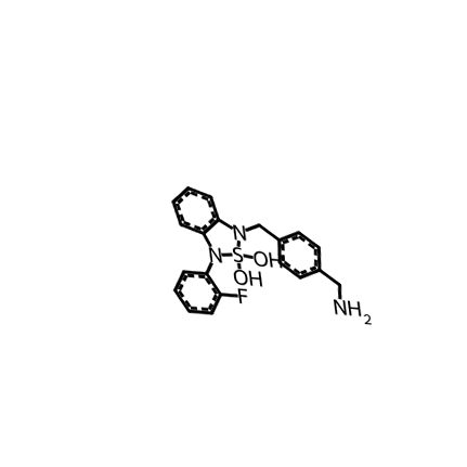 NCc1ccc(CN2c3ccccc3N(c3ccccc3F)S2(O)O)cc1